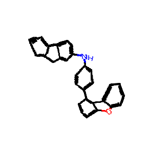 c1ccc2c(c1)Cc1cc(Nc3ccc(-c4cccc5oc6ccccc6c45)cc3)ccc1-2